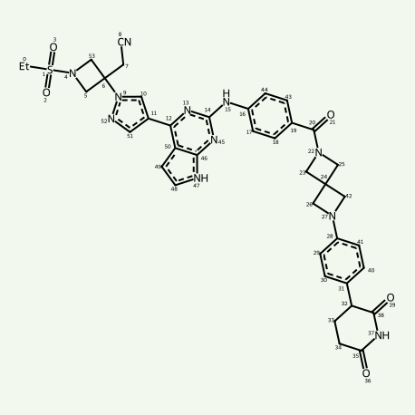 CCS(=O)(=O)N1CC(CC#N)(n2cc(-c3nc(Nc4ccc(C(=O)N5CC6(C5)CN(c5ccc(C7CCC(=O)NC7=O)cc5)C6)cc4)nc4[nH]ccc34)cn2)C1